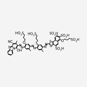 Cc1cc(N=Nc2cc(OCCCS(=O)(=O)O)c(N=Nc3c(C)c(C#N)c4nc5ccccc5n4c3O)cc2C)c(SCCCS(=O)(=O)O)cc1N=Nc1nc2c(S(=O)(=O)O)cc3c(OCCCS(=O)(=O)O)c(S(=O)(=O)O)c(S(=O)(=O)O)cc3c2s1